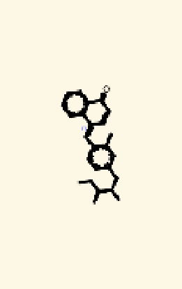 CCC(C)C(C)Cc1ccc(/C=C2\C=CC(=O)c3ccccc32)c(C)c1